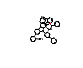 N#Cc1ccccc1-c1ccc2c3ccc(-c4ccccc4C#N)cc3n(-c3ccc(-c4ccccn4)cc3-c3nc(-c4ccccc4)nc(-c4ccccc4)n3)c2c1